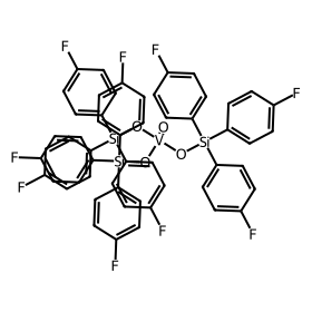 [O]=[V]([O][Si](c1ccc(F)cc1)(c1ccc(F)cc1)c1ccc(F)cc1)([O][Si](c1ccc(F)cc1)(c1ccc(F)cc1)c1ccc(F)cc1)[O][Si](c1ccc(F)cc1)(c1ccc(F)cc1)c1ccc(F)cc1